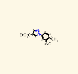 [C-]#[N+]c1cc(-n2cc(C(=O)OCC)cn2)ccc1C